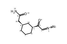 [N-]=[N+]=CC(=O)[C@H]1CCC[C@@H](CC(N)=O)C1